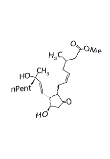 CCCCC[C@](C)(O)/C=C/[C@H]1[C@H](O)CC(=O)[C@@H]1C/C=C\CC(C)CC(=O)OC